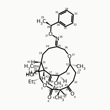 CC[C@H]1OC(=O)[C@@](C)(F)C(=O)CC[C@@]2(C)C[C@@H](C)/C(=N\C(C)=O)[C@H](C)[C@@H](CC/C(=N\O[C@@H](C)c3ccccc3)CO2)[C@]1(C)O